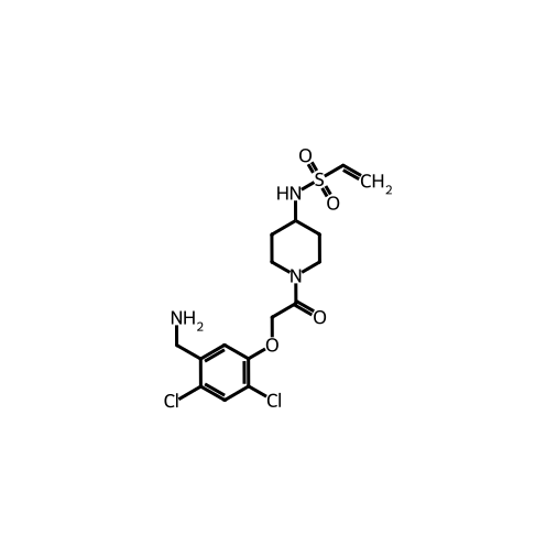 C=CS(=O)(=O)NC1CCN(C(=O)COc2cc(CN)c(Cl)cc2Cl)CC1